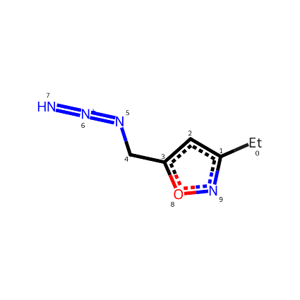 CCc1cc(CN=[N+]=N)on1